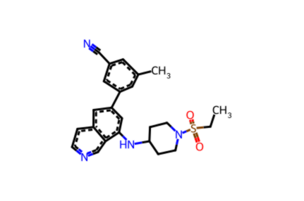 CCS(=O)(=O)N1CCC(Nc2cc(-c3cc(C)cc(C#N)c3)cc3ccncc23)CC1